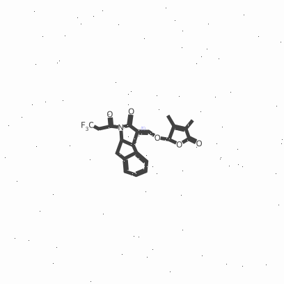 CC1=C(C)C(O/C=C2/C(=O)N(C(=O)CC(F)(F)F)C3Cc4ccccc4C23)OC1=O